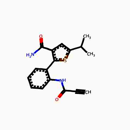 C#CC(=O)Nc1ccccc1-c1sc(C(C)C)cc1C(N)=O